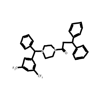 O=C(CC(c1ccccc1)c1ccccc1)N1CCN(C(c2ccccc2)c2cc(C(F)(F)F)cc(C(F)(F)F)c2)CC1